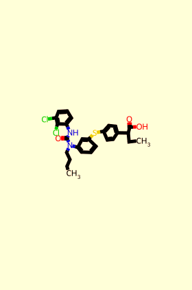 CCCCN(C(=O)Nc1cccc(Cl)c1Cl)c1cccc(Sc2ccc(C(CC)C(=O)O)cc2)c1